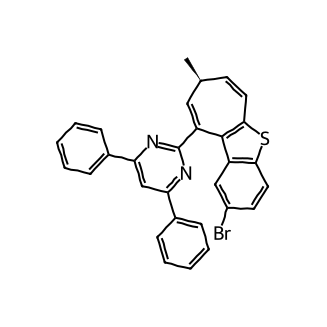 C[C@H]1C=Cc2sc3ccc(Br)cc3c2C(c2nc(-c3ccccc3)cc(-c3ccccc3)n2)=C1